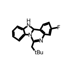 CC(C)(C)CC1=Nc2cc(F)ccc2C2Nc3ccccc3N12